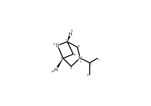 CC(C)N1C[C@H]2C[C@@H](C1)O2